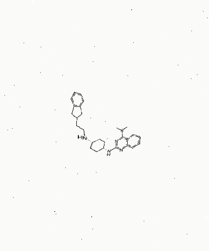 CN(C)c1nc(N[C@H]2CC[C@@H](NCCC3Cc4ccccc4C3)CC2)nc2ccccc12